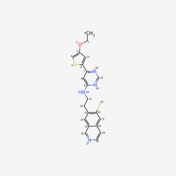 CCOc1csc(-c2cc(NCCc3cc4cnccc4cc3F)ncn2)c1